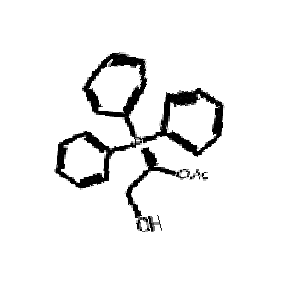 CC(=O)OC(CO)=P(c1ccccc1)(c1ccccc1)c1ccccc1